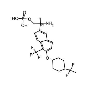 CC(F)(F)[C@H]1CC[C@H](Oc2ccc3cc([C@@](C)(N)COP(=O)(O)O)ccc3c2C(F)(F)F)CC1